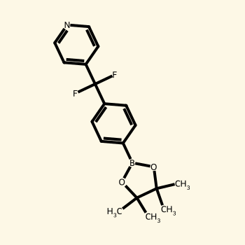 CC1(C)OB(c2ccc(C(F)(F)c3ccncc3)cc2)OC1(C)C